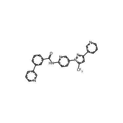 O=C(Nc1ccc(-n2nc(-c3cccnc3)cc2C(F)(F)F)cn1)c1cccc(-c2cccnc2)c1